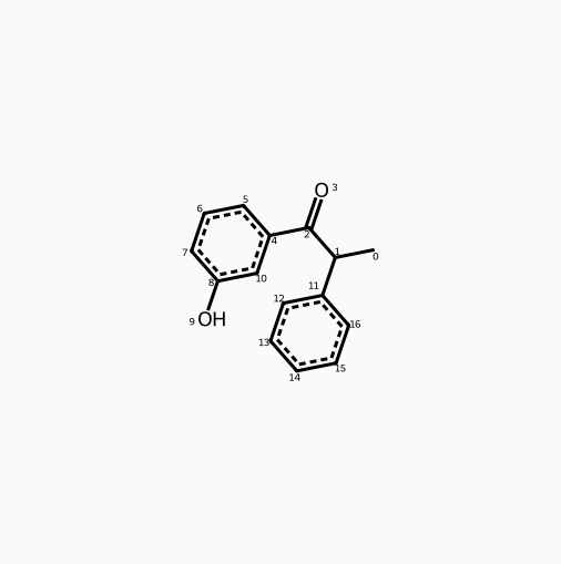 CC(C(=O)c1cccc(O)c1)c1ccccc1